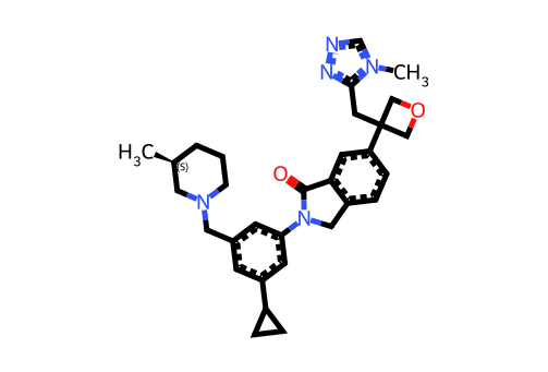 C[C@H]1CCCN(Cc2cc(C3CC3)cc(N3Cc4ccc(C5(Cc6nncn6C)COC5)cc4C3=O)c2)C1